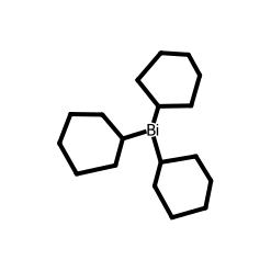 C1CC[CH]([Bi]([CH]2CCCCC2)[CH]2CCCCC2)CC1